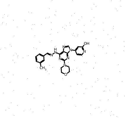 Cc1cccc(C=NNc2nc(N3CCOCC3)nc3c2ncn3-c2ccnc(O)c2)c1